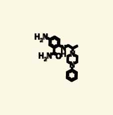 CC(CNc1ccc(N)cc1C(N)=O)N1CCN(c2ccccc2)CC1